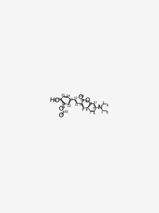 CCN(CC)c1ccc2cc(/C=C/c3ccc(O)c(OC=O)c3)c(=O)oc2c1